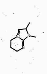 CC1C=[N+]2CCCN=C2N1C